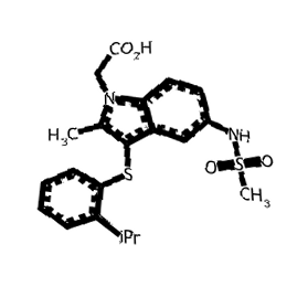 Cc1c(Sc2ccccc2C(C)C)c2cc(NS(C)(=O)=O)ccc2n1CC(=O)O